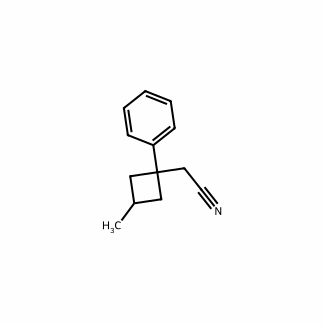 CC1CC(CC#N)(c2ccccc2)C1